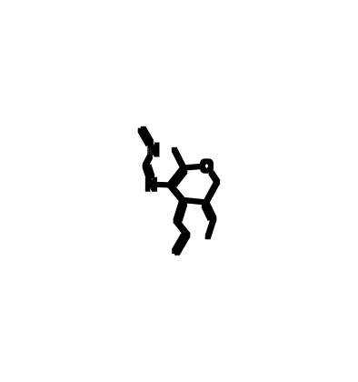 C=C/C=C1/C(/N=C\N=C)=C(C)OC/C1=C/C